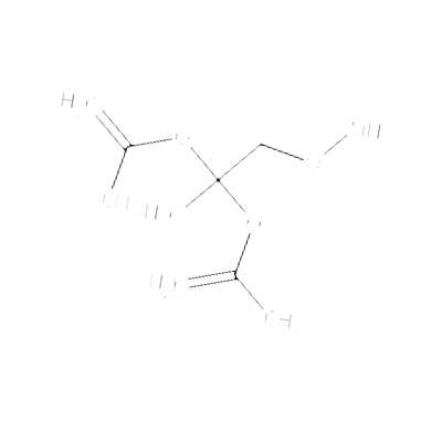 C=C(C)OC(C)(CO[SiH3])OC(=C)C